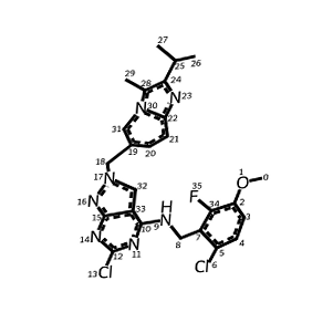 COc1ccc(Cl)c(CNc2nc(Cl)nc3nn(Cc4ccc5nc(C(C)C)c(C)n5c4)cc23)c1F